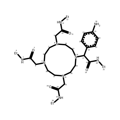 CCNC(=O)CN1CCN(CC(=O)NCC)CCN(C(C(=O)NCC)c2ccc(N)cc2)CCN(CC(=O)NCC)CC1